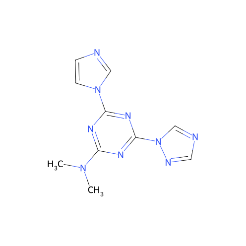 CN(C)c1nc(-n2ccnc2)nc(-n2cncn2)n1